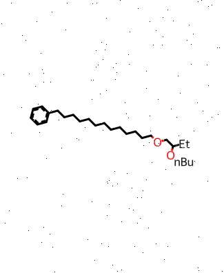 CCCCOC(CC)COCCCCCCCCCCCCCc1ccccc1